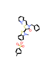 CN1/C(=c2/s/c(=C\c3cccc[n+]3C)n(Cc3ccccc3)c2=O)Sc2ccccc21.Cc1ccc(S(=O)(=O)[O-])cc1